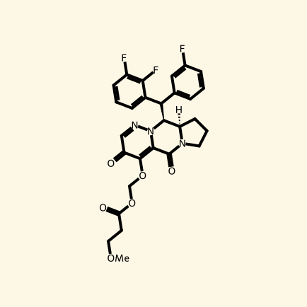 COCCC(=O)OCOc1c2n(ncc1=O)[C@@H](C(c1cccc(F)c1)c1cccc(F)c1F)[C@H]1CCCN1C2=O